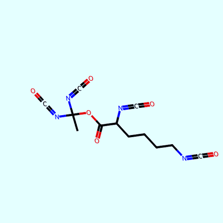 CC(N=C=O)(N=C=O)OC(=O)C(CCCCN=C=O)N=C=O